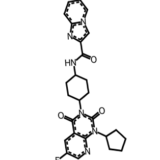 O=C(NC1CCC(n2c(=O)c3cc(F)cnc3n(C3CCCC3)c2=O)CC1)c1cn2ccccc2n1